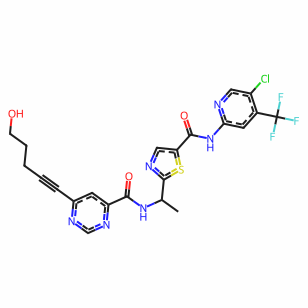 CC(NC(=O)c1cc(C#CCCCO)ncn1)c1ncc(C(=O)Nc2cc(C(F)(F)F)c(Cl)cn2)s1